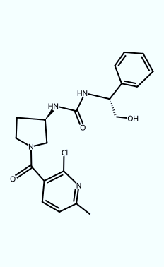 Cc1ccc(C(=O)N2CC[C@@H](NC(=O)N[C@@H](CO)c3ccccc3)C2)c(Cl)n1